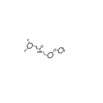 O=C(C=Cc1cc(F)cc(F)c1)NCCc1cccc(Oc2ccncc2)c1